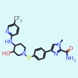 Cn1cc(-c2ccc(SN3CCC(Nc4ccc(C(F)(F)F)cn4)C(O)C3)cc2)nc1C(N)=O